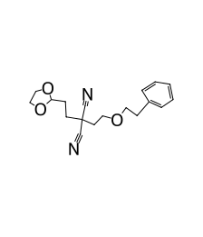 N#CC(C#N)(CCOCCc1ccccc1)CCC1OCCO1